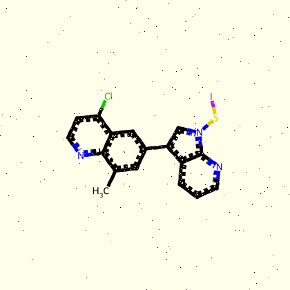 Cc1cc(-c2cn(SI)c3ncccc23)cc2c(Cl)ccnc12